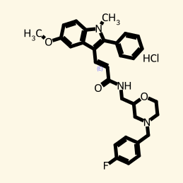 COc1ccc2c(c1)c(/C=C/C(=O)NCC1CN(Cc3ccc(F)cc3)CCO1)c(-c1ccccc1)n2C.Cl